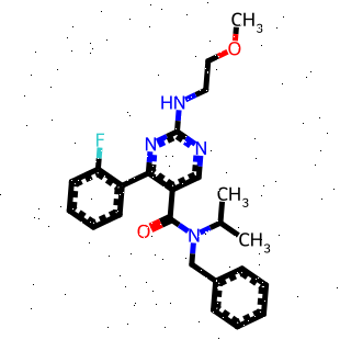 COCCNc1ncc(C(=O)N(Cc2ccccc2)C(C)C)c(-c2ccccc2F)n1